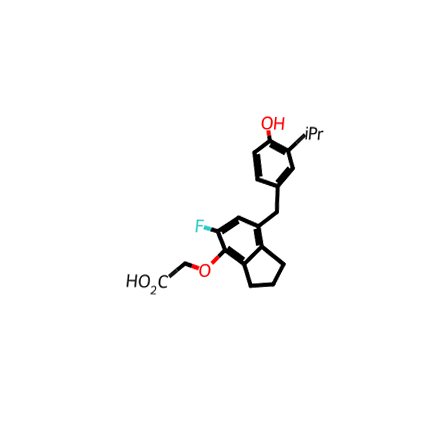 CC(C)c1cc(Cc2cc(F)c(OCC(=O)O)c3c2CCC3)ccc1O